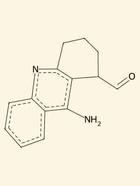 Nc1c2c(nc3ccccc13)CCCC2C=O